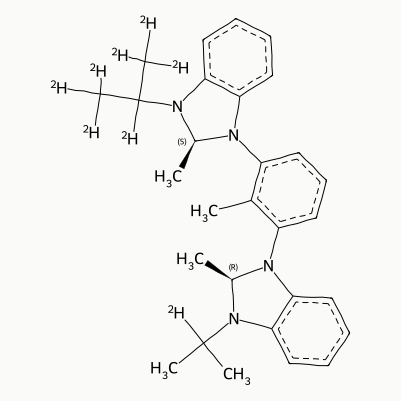 [2H]C(C)(C)N1c2ccccc2N(c2cccc(N3c4ccccc4N(C([2H])(C([2H])([2H])[2H])C([2H])([2H])[2H])[C@@H]3C)c2C)[C@@H]1C